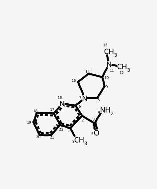 Cc1c(C(N)=O)c(N2CCC(N(C)C)CC2)nc2cc[c]cc12